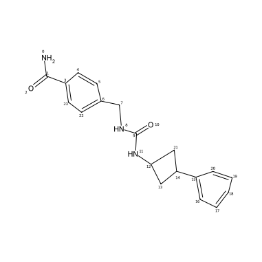 NC(=O)c1ccc(CNC(=O)NC2CC(c3ccccc3)C2)cc1